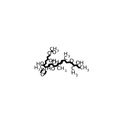 CCC(O)C(C)C1OC1CC(C)C=CC=C(C)C(O)C(C)C=CC(N1CCOCC1)C(C)(O)CCC(O)CCOC(C)=O